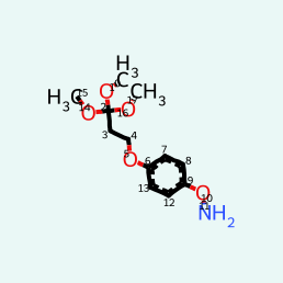 COC(CCOc1ccc(ON)cc1)(OC)OC